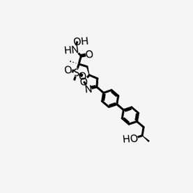 C[C@@H](O)Cc1ccc(-c2ccc(C3=NO[C@@H](C[C@](C)(C(=O)NO)S(C)(=O)=O)C3)cc2)cc1